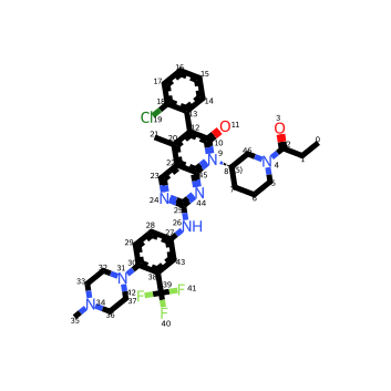 CCC(=O)N1CCC[C@H](n2c(=O)c(-c3ccccc3Cl)c(C)c3cnc(Nc4ccc(N5CCN(C)CC5)c(C(F)(F)F)c4)nc32)C1